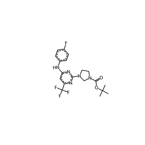 CC(C)(C)OC(=O)N1CCN(c2nc(Nc3ccc(F)cc3)cc(C(F)(F)F)n2)C1